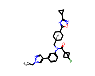 CCn1cc(-c2cccc(N(CC34CCC(c5nc(C6CC6)no5)(CC3)CC4)C(=O)C34CC(F)(C3)C4)c2)cn1